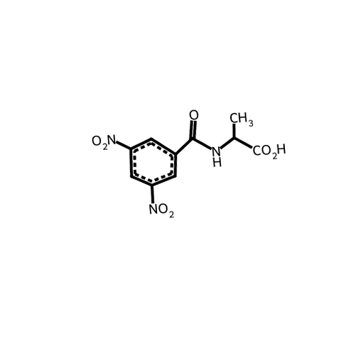 CC(NC(=O)c1cc([N+](=O)[O-])cc([N+](=O)[O-])c1)C(=O)O